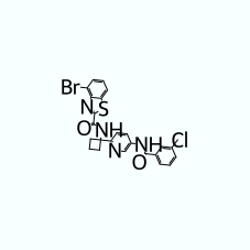 O=C(Nc1ccc(C2(NC(=O)c3nc4c(Br)cccc4s3)CCC2)nc1)c1cccc(Cl)c1